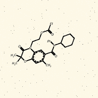 CCC(=O)OCCN1C(=O)C(C)(C)Oc2cc(C)c(C(=O)N(C(C)C)C3CCCCC3)cc21